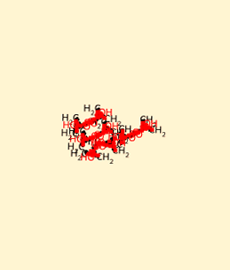 C=CCc1cc(CCC(=O)OC(C)OC(=O)CCc2cc(CC=C)c(O)c(CC=C)c2)cc(CC=C)c1O.C=CCc1cc(CCC(=O)OCOC(=O)CCc2cc(CC=C)c(O)c(CC=C)c2)cc(CC=C)c1O.C=CCc1cc(CCC(=O)OCOC(=O)CCc2cc(CC=C)c(O)c(CC=C)c2)cc(CC=C)c1O.C=CCc1cc(CCC(=O)OCOC(=O)CCc2cc(CC=C)c(O)c(CC=C)c2)cc(CC=C)c1O